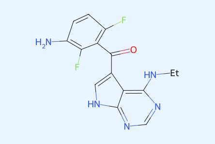 CCNc1ncnc2[nH]cc(C(=O)c3c(F)ccc(N)c3F)c12